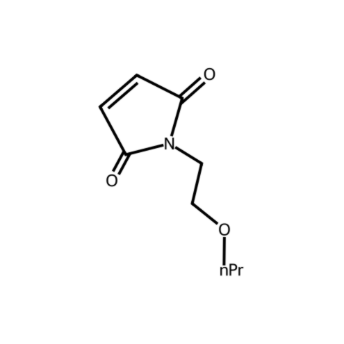 CCCOCCN1C(=O)C=CC1=O